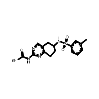 CCCC(=O)Nc1ncc2c(n1)CCC(NS(=O)(=O)c1cccc(C)c1)C2